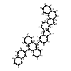 c1ccc2cc(-c3c4ccccc4c(-c4ccc5sc6c(ccc7c6sc6ccc8ccccc8c67)c5c4)c4ccccc34)ccc2c1